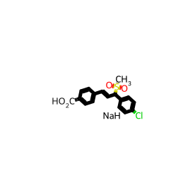 CS(=O)(=O)C(C=Cc1ccc(C(=O)O)cc1)c1ccc(Cl)cc1.[NaH]